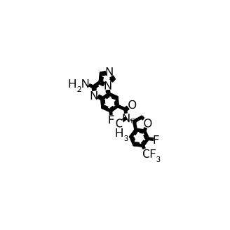 CN(C(=O)c1cc2c(cc1F)nc(N)c1cncn12)[C@@H]1COc2c1ccc(C(F)(F)F)c2F